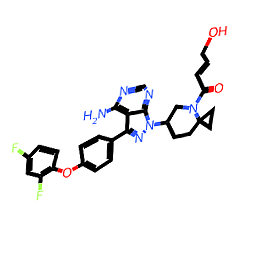 Nc1ncnc2c1c(-c1ccc(Oc3ccc(F)cc3F)cc1)nn2C1CCC2(CC2)N(C(=O)/C=C/CO)C1